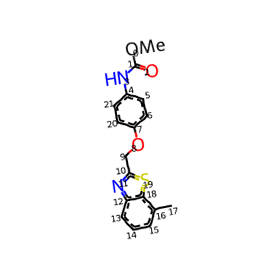 COC(=O)Nc1ccc(OCc2nc3cccc(C)c3s2)cc1